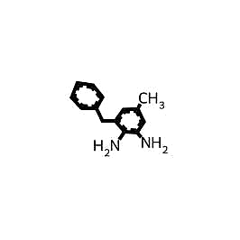 Cc1cc(N)c(N)c(Cc2ccccc2)c1